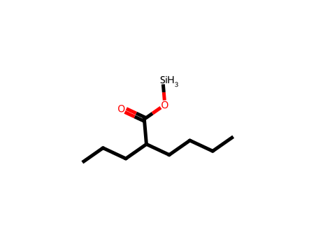 CCCCC(CCC)C(=O)O[SiH3]